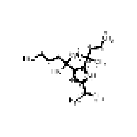 CCCCC(C)(C)c1nc(C(C)C)[nH]c1C(C)(C)CCC